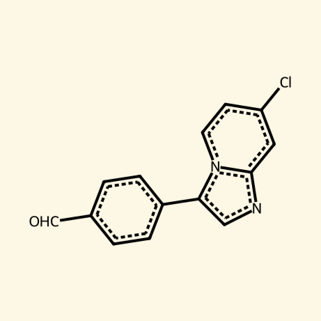 O=Cc1ccc(-c2cnc3cc(Cl)ccn23)cc1